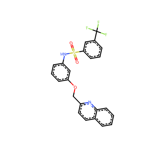 O=S(=O)(Nc1cccc(OCc2ccc3ccccc3n2)c1)c1cccc(C(F)(F)F)c1